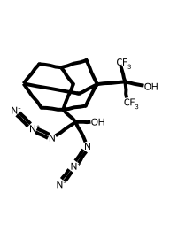 [N-]=[N+]=NC(O)(N=[N+]=[N-])C12CC3CC(C1)CC(C(O)(C(F)(F)F)C(F)(F)F)(C3)C2